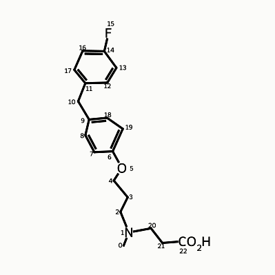 CN(CCCOc1ccc(Cc2ccc(F)cc2)cc1)CCC(=O)O